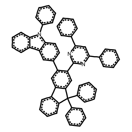 c1ccc(-c2cc(-c3ccccc3)nc(-c3cc4c(cc3-c3ccc5c(c3)c3ccccc3n5-c3ccccc3)-c3ccccc3C4(c3ccccc3)c3ccccc3)n2)cc1